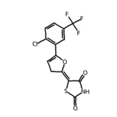 O=C1NC(=O)C(=C2CC=C(c3cc(C(F)(F)F)ccc3Cl)O2)S1